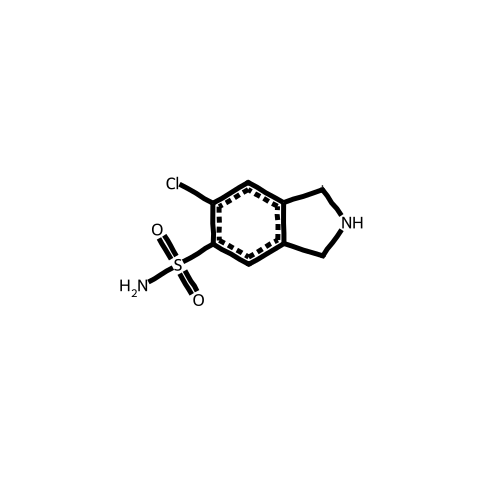 NS(=O)(=O)c1cc2c(cc1Cl)[CH]NC2